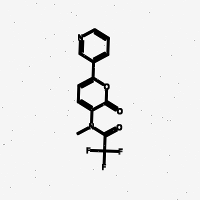 CN(C(=O)C(F)(F)F)c1ccc(-c2cccnc2)oc1=O